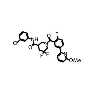 COc1cccc(-c2ccc(F)c(C(=O)N3CC(C(=O)Nc4cccc(Cl)c4)CC(F)(F)C3)c2)n1